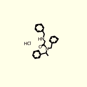 CC(c1ccccc1)N(Cc1ccccc1)C(=O)CNCc1ccccc1.Cl